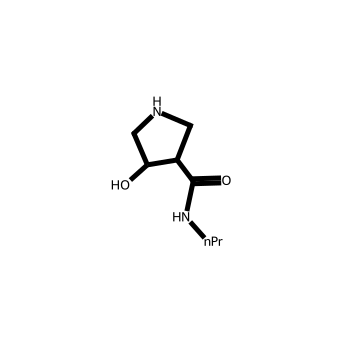 CCCNC(=O)C1CNCC1O